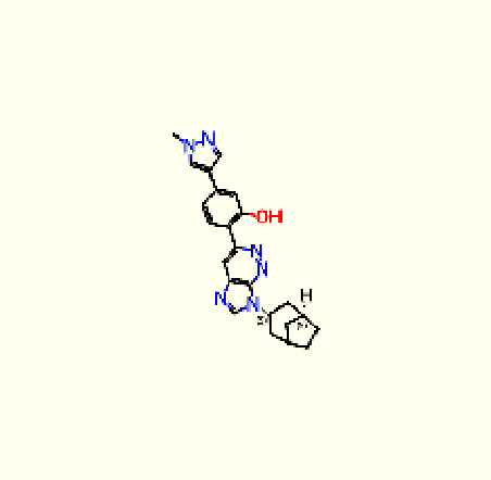 Cn1cc(-c2ccc(-c3cc4ncn([C@H]5CC6CC[C@@H](C6)C5)c4nn3)c(O)c2)cn1